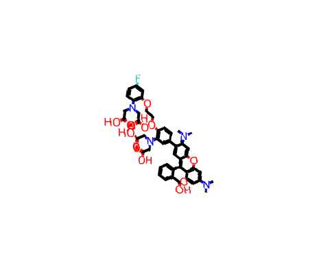 CN(C)c1ccc2c(-c3ccccc3C(=O)O)c3cc(-c4ccc(OCCOc5cc(F)ccc5N(CC(=O)O)CC(=O)O)c(N(CC(=O)O)CC(=O)O)c4)c(=[N+](C)C)cc-3oc2c1